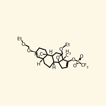 CCOCO[C@H]1CC[C@@]2(C)[C@H](CC[C@@H]3[C@@H]2CC[C@]2(C)C(OS(=O)(=O)C(F)(F)F)=CC[C@]32OCOCC)C1